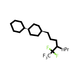 CCCC(CCC[C@H]1CC[C@H](C2CCCCC2)CC1)C(F)(F)C(F)(F)F